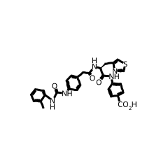 Cc1ccccc1NC(=O)Nc1ccc(CC(=O)N[C@@H](Cc2cscn2)C(=O)Nc2ccc(C(=O)O)cc2)cc1